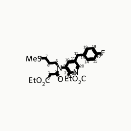 CCOC(=O)CC(=O)N(CCCSC)c1cc(Cc2ccc(F)cc2)cnc1C(=O)OCC